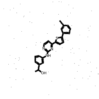 Cc1cccc(-c2ccc(-c3ccnc(Nc4cccc(C(C)O)c4)n3)s2)c1